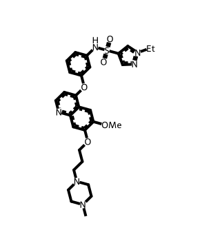 CCn1cc(S(=O)(=O)Nc2cccc(Oc3ccnc4cc(OCCCN5CCN(C)CC5)c(OC)cc34)c2)cn1